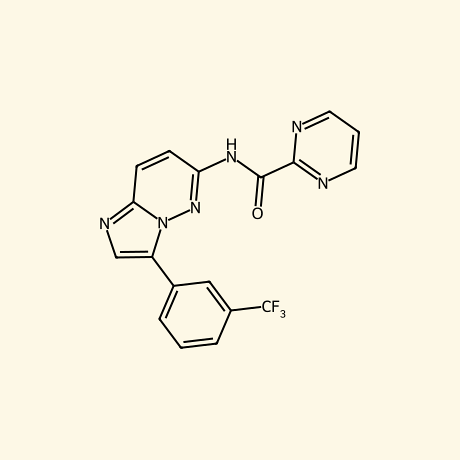 O=C(Nc1ccc2ncc(-c3cccc(C(F)(F)F)c3)n2n1)c1ncccn1